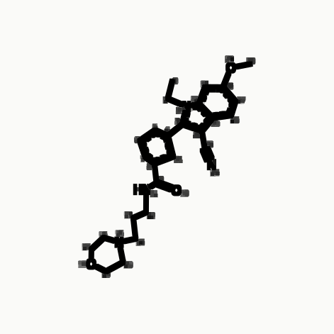 CCn1c(-c2cccc(C(=O)NCCCN3CCOCC3)c2)c(C#N)c2ccc(OC)cc21